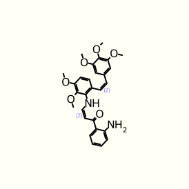 COc1cc(/C=C\c2ccc(OC)c(OC)c2N/C=C\C(=O)c2ccccc2N)cc(OC)c1OC